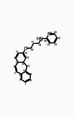 C1=CC2C=Cc3ccccc3CC2C=C1OCCCNc1ccccn1